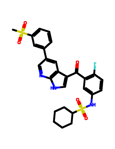 CS(=O)(=O)c1cccc(-c2cnc3[nH]cc(C(=O)c4cc(NS(=O)(=O)C5CCCCC5)ccc4F)c3c2)c1